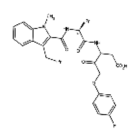 CC(C)Cc1c(C(=O)N[C@H](C(=O)NC(CC(=O)O)C(=O)COc2ccc(F)cc2)C(C)C)n(C)c2ccccc12